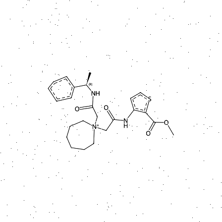 COC(=O)c1sccc1NC(=O)C[N+]1(CC(=O)N[C@H](C)c2ccccc2)CCCCCC1